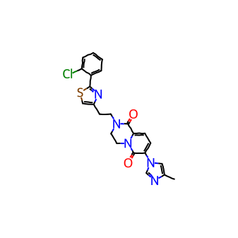 Cc1cn(-c2ccc3n(c2=O)CCN(CCc2csc(-c4ccccc4Cl)n2)C3=O)cn1